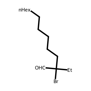 [CH2]CC(Br)(C=O)CCCCCCCCCCC